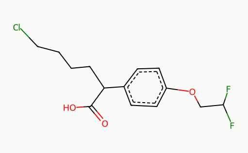 O=C(O)C(CCCCCl)c1ccc(OCC(F)F)cc1